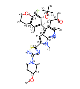 COC1CCN(c2nsc(-c3cc4c(-c5cc(F)c6c(c5C)CCCO6)c([C@H](OC(C)(C)C)C(C)=O)c(C)nc4n3C)n2)CC1